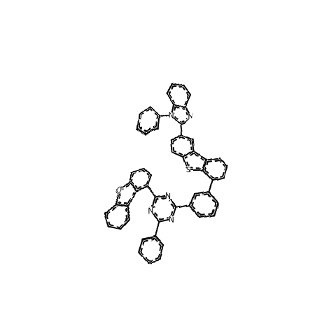 c1ccc(-c2nc(-c3cccc(-c4cccc5c4sc4ccc(-c6nc7ccccc7n6-c6ccccc6)cc45)c3)nc(-c3cccc4oc5ccccc5c34)n2)cc1